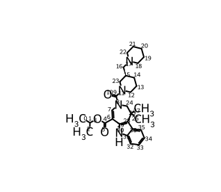 CC(C)OC(=O)C1=CN(C(=O)N2CCC[C@H](CN3CCCCC3)C2)CC(C)(C)c2c1[nH]c1ccccc21